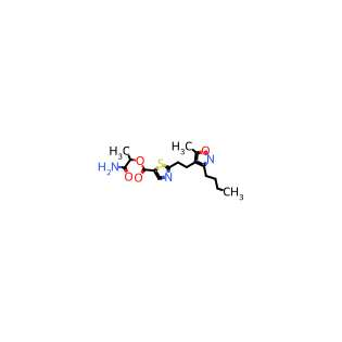 CCCCc1noc(C)c1CCc1ncc(C(=O)OC(C)C(N)=O)s1